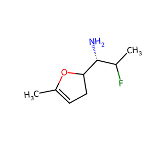 CC1=CCC([C@H](N)C(C)F)O1